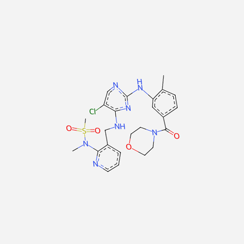 Cc1ccc(C(=O)N2CCOCC2)cc1Nc1ncc(Cl)c(NCc2cccnc2N(C)S(C)(=O)=O)n1